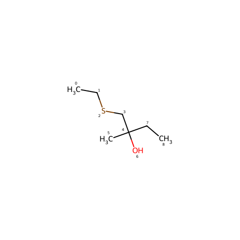 CCSCC(C)(O)CC